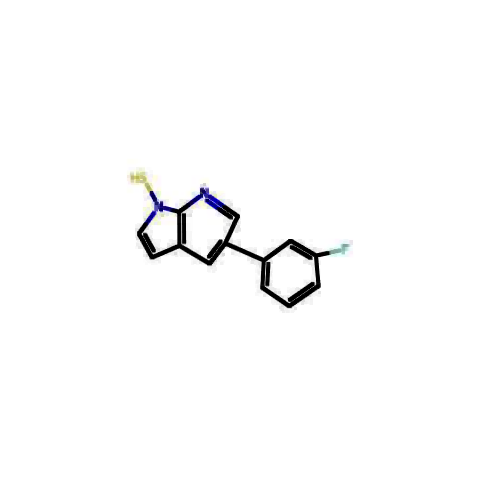 Fc1cccc(-c2cnc3c(ccn3S)c2)c1